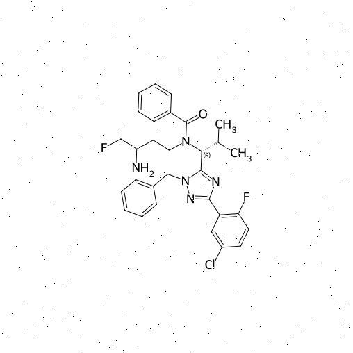 CC(C)[C@H](c1nc(-c2cc(Cl)ccc2F)nn1Cc1ccccc1)N(CCC(N)CF)C(=O)c1ccccc1